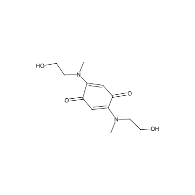 CN(CCO)C1=CC(=O)C(N(C)CCO)=CC1=O